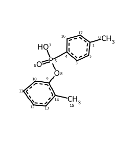 Cc1ccc(P(=O)(O)Oc2ccccc2C)cc1